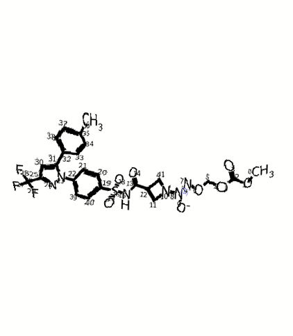 COC(=O)OCO/N=[N+](\[O-])N1CC(C(=O)NS(=O)(=O)c2ccc(-n3nc(C(F)(F)F)cc3-c3ccc(C)cc3)cc2)C1